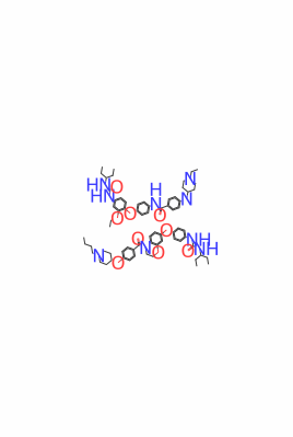 CCCCN1CCC(Oc2ccc(C(=O)N3CCOc4cc(Oc5ccc(NC(=O)NC(CC)CC)cc5)ccc43)cc2)CC1.CCOc1cc(NC(=O)NC(CC)CC)ccc1Oc1ccc(NC(=O)c2ccc(N(C)C3CCN(CC)CC3)cc2)cc1